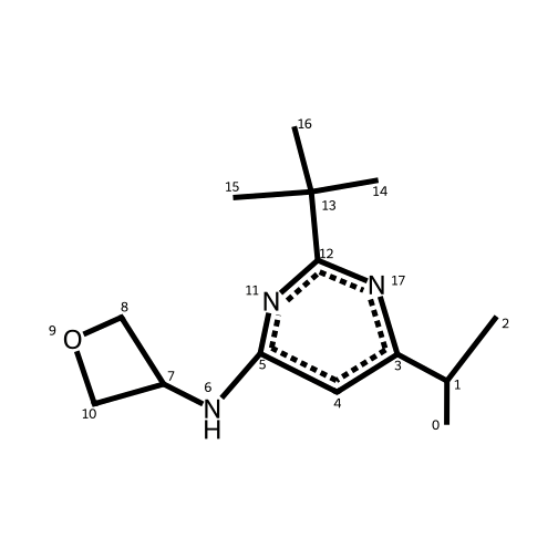 CC(C)c1cc(NC2COC2)nc(C(C)(C)C)n1